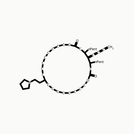 C=C=C=C=C1C(CCCCC)CC(=O)OCCCCCCCCC(CCN2CCCC2)CCCCCCCCOC(=O)CC1CCCCC